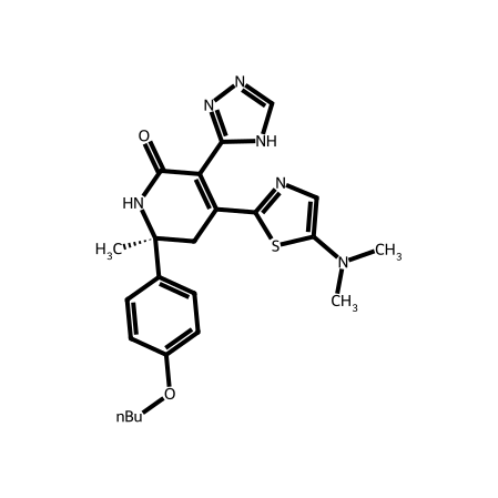 CCCCOc1ccc([C@]2(C)CC(c3ncc(N(C)C)s3)=C(c3nnc[nH]3)C(=O)N2)cc1